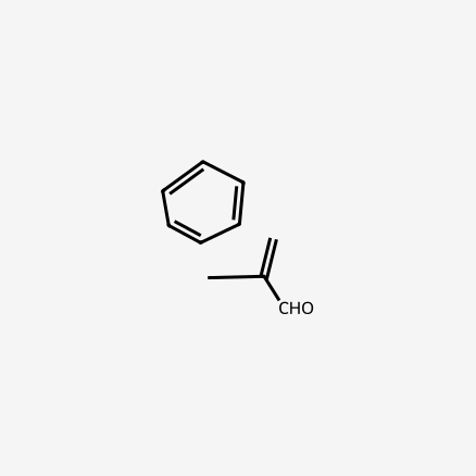 C=C(C)C=O.c1ccccc1